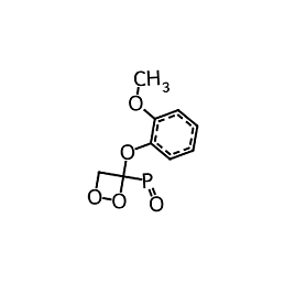 COc1ccccc1OC1(P=O)COO1